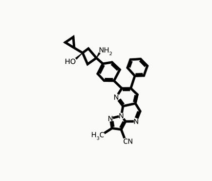 Cc1nn2c(ncc3cc(-c4ccccc4)c(-c4ccc([C@]5(N)C[C@](O)(C6CC6)C5)cc4)nc32)c1C#N